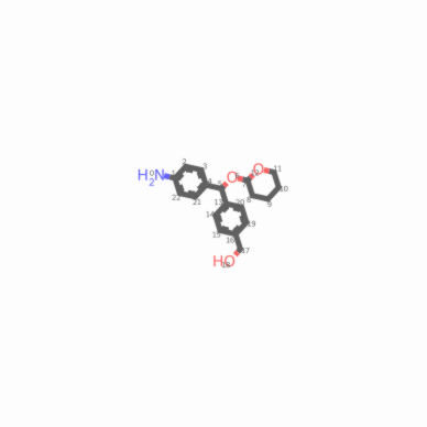 Nc1ccc(C(OC2CCCCO2)c2ccc(CO)cc2)cc1